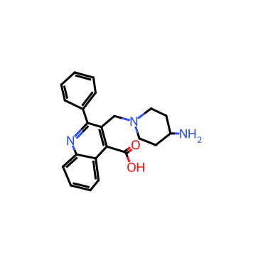 NC1CCN(Cc2c(-c3ccccc3)nc3ccccc3c2C(=O)O)CC1